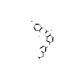 COc1ccc(OC)c(Nc2nc3cc(Oc4ccnc(CC(N)=O)c4)ccc3n2C)c1